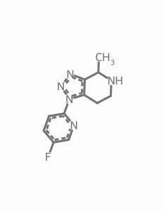 CC1NCCc2c1nnn2-c1ccc(F)cn1